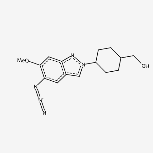 COc1cc2nn(C3CCC(CO)CC3)cc2cc1N=[N+]=[N-]